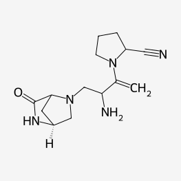 C=C(C(N)CN1C[C@@H]2CC1C(=O)N2)N1CCCC1C#N